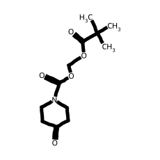 CC(C)(C)C(=O)OCOC(=O)N1CCC(=O)CC1